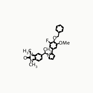 COc1cc(-c2cccn2C(C)c2ccc3c(c2)n(C)c(=O)n3C)cc(F)c1OCc1ccccc1